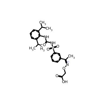 C/C(=N/OCC(=O)O)c1cccc(S(=O)(=O)NC(=O)Nc2c(C(C)C)cccc2C(C)C)c1